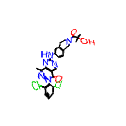 Cc1nn(-c2c(Cl)cccc2Cl)c(=O)c2cnc(Nc3ccc4c(c3)CCN(C(=O)C(C)(C)O)C4)nc12